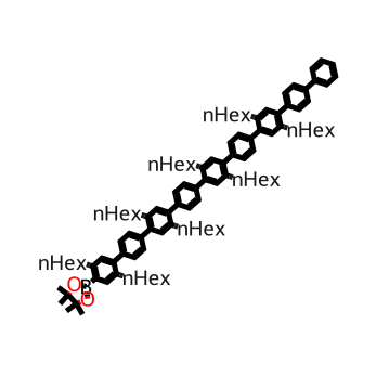 CCCCCCc1cc(-c2ccc(-c3cc(CCCCCC)c(-c4ccc(-c5cc(CCCCCC)c(-c6ccc(-c7cc(CCCCCC)c(-c8ccc(-c9ccccc9)cc8)cc7CCCCCC)cc6)cc5CCCCCC)cc4)cc3CCCCCC)cc2)c(CCCCCC)cc1B1OC(C)(C)C(C)(C)O1